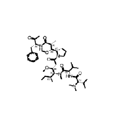 CC[C@H](C)[C@@H]([C@@H](CC(=O)N1CCC[C@H]1[C@H](OC)[C@@H](C)C(=O)N[C@H](Cc1ccccc1)C(C)=O)OC)N(C)C(=O)[C@@H](NC(=O)[C@H](C(C)C)N(C)C)C(C)C